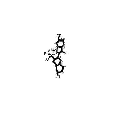 CCS(=O)(=O)c1cc2cc(Cl)ccc2nc1-c1c(F)c2ncc(C(F)(F)F)cc2n1C(C)=O